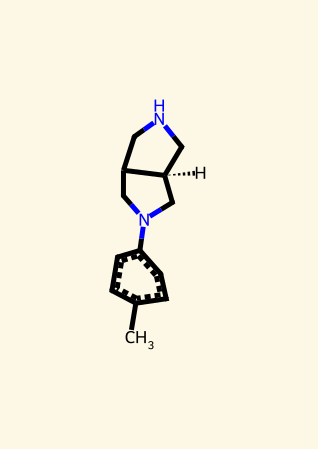 Cc1ccc(N2CC3CNC[C@H]3C2)cc1